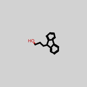 OCCCC1c2ccccc2-c2ccccc21